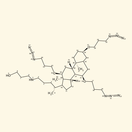 C[C@H](CCCNCCCO)C1CC[C@H]2C3[C@H](OCCCN=[N+]=[N-])CC4C[C@H](OCCCN=[N+]=[N-])CC[C@]4(C)[C@H]3C[C@H](OCCCN=[N+]=[N-])[C@]12C